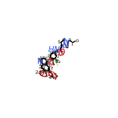 CCCn1ccc(C(=O)Nc2ccc(Oc3ccnc4cc(OC)c(OC)cc34)c(F)c2)n1